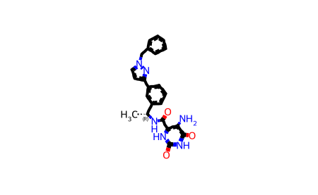 C[C@@H](NC(=O)c1[nH]c(=O)[nH]c(=O)c1N)c1cccc(-c2ccn(Cc3ccccc3)n2)c1